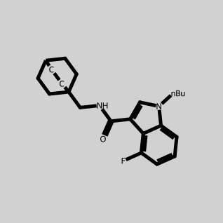 CCCCn1cc(C(=O)NCC23CCC(CC2)CC3)c2c(F)cccc21